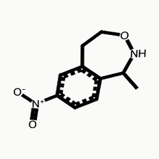 CC1NOCCc2cc([N+](=O)[O-])ccc21